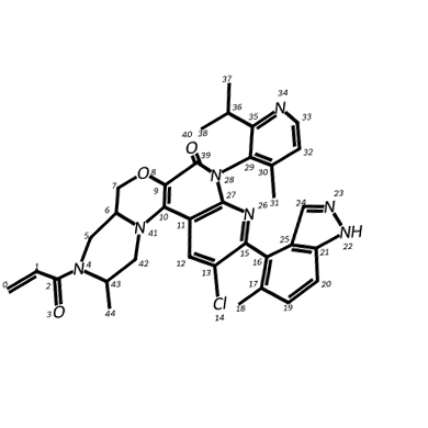 C=CC(=O)N1CC2COc3c(c4cc(Cl)c(-c5c(C)ccc6[nH]ncc56)nc4n(-c4c(C)ccnc4C(C)C)c3=O)N2CC1C